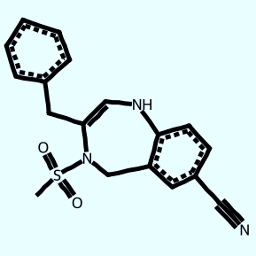 CS(=O)(=O)N1Cc2cc(C#N)ccc2NC=C1Cc1ccccc1